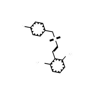 COc1cccc(OC)c1C=CS(=O)(=O)Cc1ccc([N+](=O)[O-])cc1